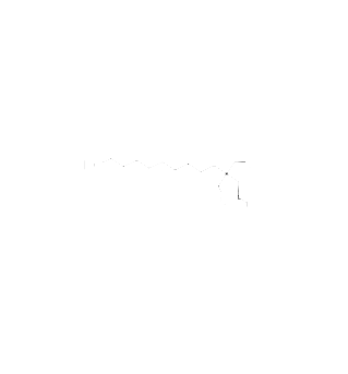 CCCCCCCCCCC(CO)(CO)CCC